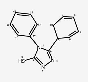 Sc1nnc(C2C=CC=CC2)n1-c1ccccc1